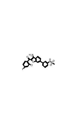 CS(=O)(=O)Nc1cccc(-c2ccc3c(N)c(C(=O)c4ccc(F)cc4Cl)oc3c2)c1